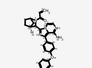 C=CC(=O)N1C2CC[C@@H](C2)C1c1nc(-c2ccc(Oc3ccccc3)cc2)c2c(N)nccn12